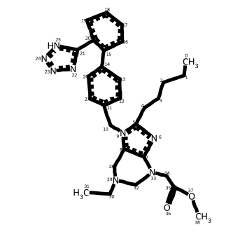 CCCCCc1nc2c(n1Cc1ccc(-c3ccccc3-c3nnn[nH]3)cc1)CN(CC)CN2CC(=O)OC